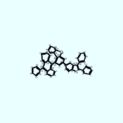 c1ccc(-c2sc3ccc(-c4cc(-c5c6ccccc6c(-c6ccccc6)c6ccccc56)c5c(c4)oc4ccccc45)cc3c2-c2ccccc2)cc1